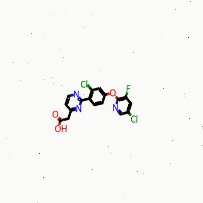 O=C(O)Cc1ccnc(-c2ccc(Oc3ncc(Cl)cc3F)cc2Cl)n1